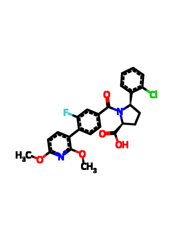 COc1ccc(-c2ccc(C(=O)N3[C@@H](c4ccccc4Cl)CC[C@H]3C(=O)O)cc2F)c(OC)n1